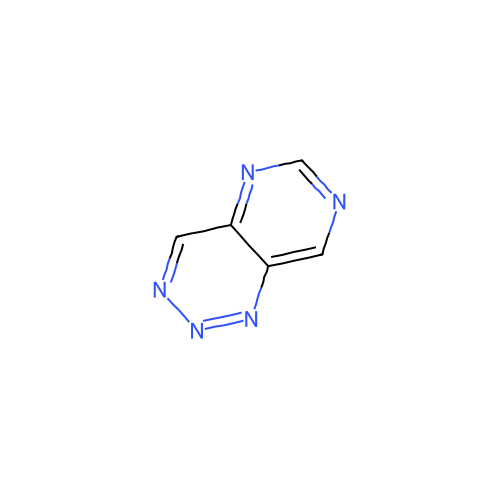 c1ncc2nnncc2n1